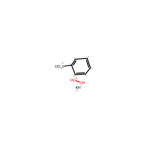 O=S(=O)(O)c1ccccc1.OO.[KH]